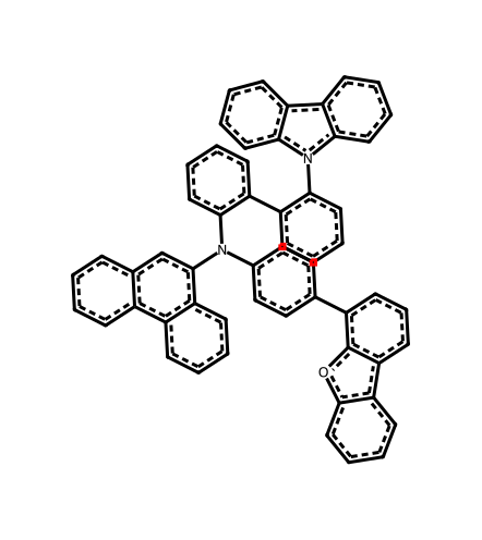 c1ccc(N(c2ccc(-c3cccc4c3oc3ccccc34)cc2)c2cc3ccccc3c3ccccc23)c(-c2ccccc2-n2c3ccccc3c3ccccc32)c1